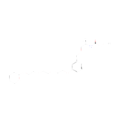 CC(C)(C)OC(=O)N[C@@H](COCc1cccc(OCCOCCOCCOC2CCCCO2)c1)C(=O)O